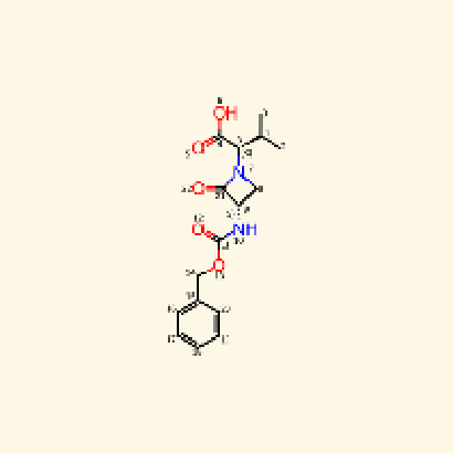 CC(C)[C@H](C(=O)O)N1C[C@H](NC(=O)OCc2ccccc2)C1=O